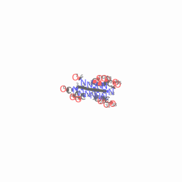 O=C=NCC(N=C=O)(N=C=O)C(N=C=O)(N=C=O)C(N=C=O)(N=C=O)C(N=C=O)(N=C=O)C(N=C=O)(N=C=O)N=C=O